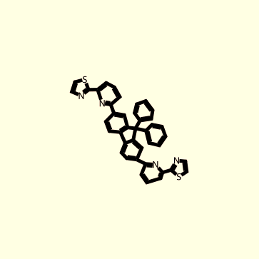 c1ccc(C2(c3ccccc3)c3cc(-c4cccc(-c5nccs5)n4)ccc3-c3ccc(-c4cccc(-c5nccs5)n4)cc32)cc1